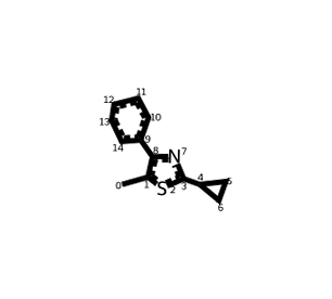 Cc1sc(C2CC2)nc1-c1ccccc1